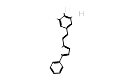 CC(C)c1c(O)cc(/C=C/c2ccc(-c3ccccc3)s2)cc1O